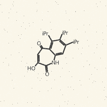 CC(C)c1cc2[nH]c(=O)c(O)cc(=O)c2c(C(C)C)c1C(C)C